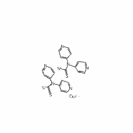 S=C([S-])N(c1ccncc1)c1ccncc1.S=C([S-])N(c1ccncc1)c1ccncc1.[Cu+2]